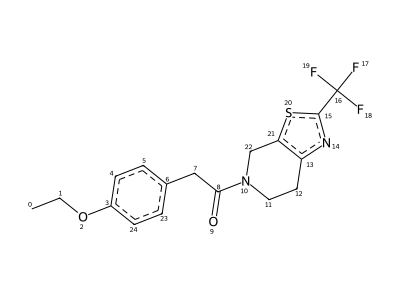 CCOc1ccc(CC(=O)N2CCc3nc(C(F)(F)F)sc3C2)cc1